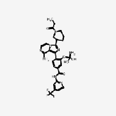 BC(O)(O)Oc1cc(C(=O)Nc2cc(C(F)(F)F)ccn2)ccc1-c1nc(C2CCCN(C(=O)CC)C2)n2ccnc(N)c12